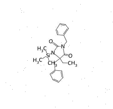 CCC1(Cc2ccccc2)C(=O)N(Cc2ccccc2)C(=O)N1[Si](C)(C)C